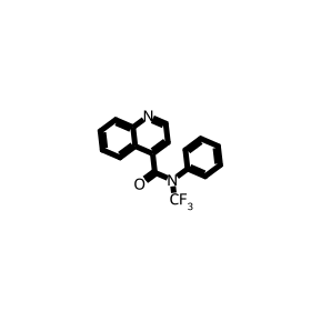 O=C(c1ccnc2ccccc12)N(c1ccccc1)C(F)(F)F